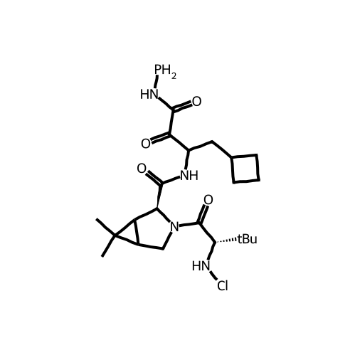 CC1(C)C2CN(C(=O)[C@@H](NCl)C(C)(C)C)[C@H](C(=O)NC(CC3CCC3)C(=O)C(=O)NP)C21